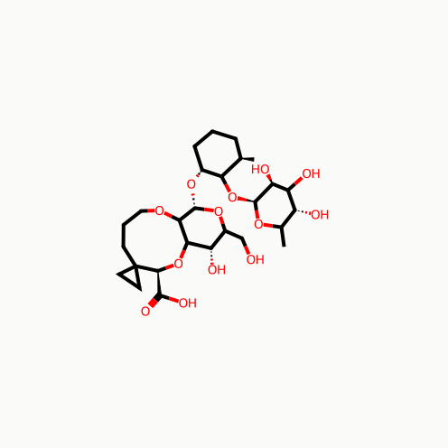 CC1O[C@@H](OC2[C@H](C)CCC[C@H]2O[C@@H]2OC(CO)[C@H](O)C3O[C@@H](C(=O)O)C4(CCCOC32)CC4)[C@@H](O)C(O)[C@@H]1O